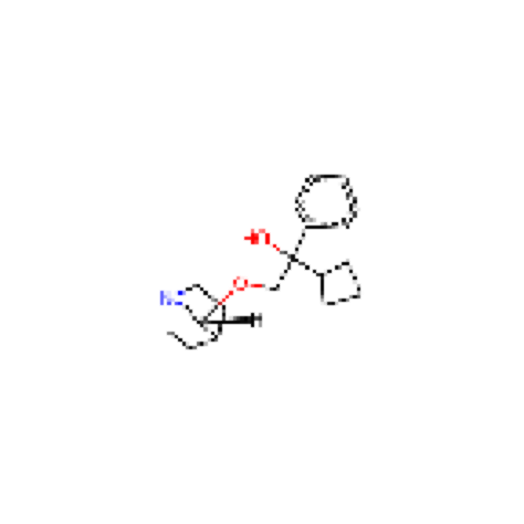 OC(CO[C@H]1CN2CCC1CC2)(c1ccccc1)C1CCC1